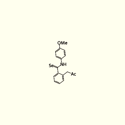 COc1ccc(NC(=[Se])c2ccccc2CC(C)=O)cc1